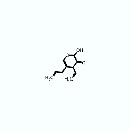 C=CCC1=COC(O)C(=O)C1C=C